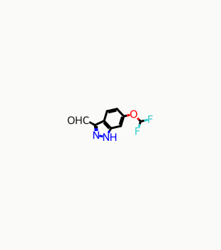 O=Cc1n[nH]c2cc(OC(F)F)ccc12